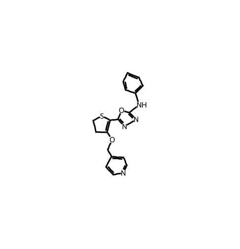 c1ccc(Nc2nnc(C3=C(OCc4ccncc4)CCS3)o2)cc1